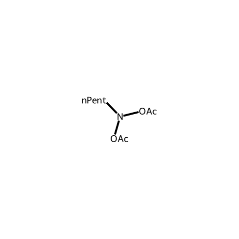 CCCCCN(OC(C)=O)OC(C)=O